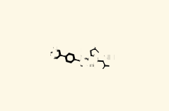 CC(C)[C@H](N)C(=O)N1C[C@H](O)C[C@H]1C(=O)N[C@@H](CO)c1ccc(-c2cncnc2)cc1